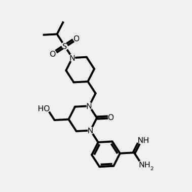 CC(C)S(=O)(=O)N1CCC(CN2CC(CO)CN(c3cccc(C(=N)N)c3)C2=O)CC1